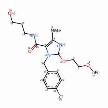 CCCOCCOC1NC(NC)=C(C(=O)NCCCO)N1Cc1ccc(Cl)cc1